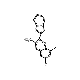 Cc1cc(Cl)cc2cc(C(=O)O)c(-c3cc4ccccc4o3)nc12